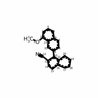 COc1cccc2ccc(-c3c(C#N)ccc4ccccc34)[c]c12